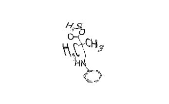 CC(C)(CNc1ccccc1)C(=O)O[SiH3]